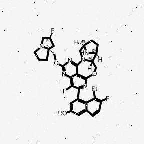 CCc1c(F)ccc2cc(O)cc(-c3nc4c5c(nc(OC[C@]67CCCN6C[C@@H](F)C7)nc5c3F)N3C[C@H]5CC[C@H](N5)[C@@H]3CO4)c12